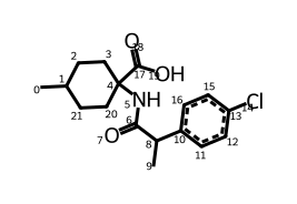 CC1CCC(NC(=O)C(C)c2ccc(Cl)cc2)(C(=O)O)CC1